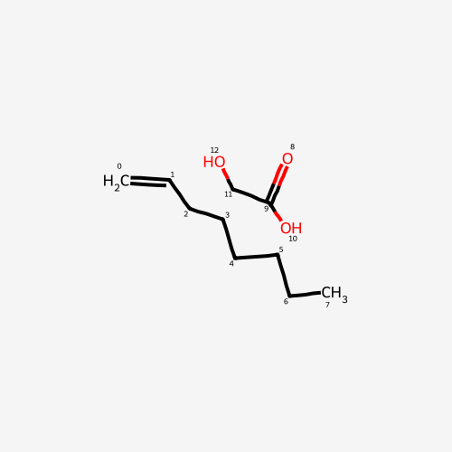 C=CCCCCCC.O=C(O)CO